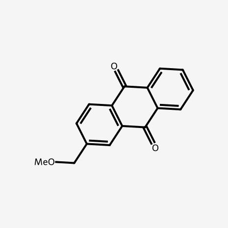 COCc1ccc2c(c1)C(=O)c1ccccc1C2=O